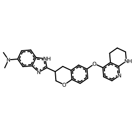 CN(C)c1ccc2[nH]c(C3COc4ccc(Oc5ccnc6c5CCCN6)cc4C3)nc2c1